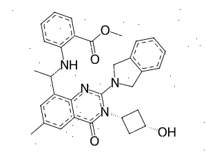 COC(=O)c1ccccc1NC(C)c1cc(C)cc2c(=O)n([C@H]3C[C@@H](O)C3)c(N3Cc4ccccc4C3)nc12